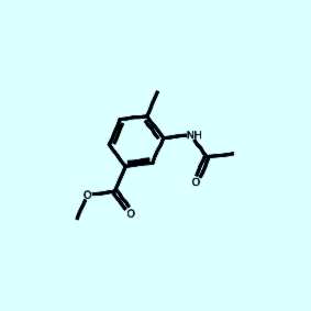 COC(=O)c1ccc(C)c(NC(C)=O)c1